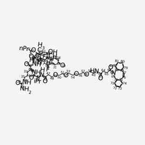 CCCC1O[C@@H]2C[C@H]3[C@@H]4C[C@H](F)C5=CC(=O)C=C[C@]5(C)[C@@]4(F)[C@@H](O)C[C@]3(C)[C@]2(C(=O)CNC(=O)[C@H](CCCNC(N)=O)NC(=O)[C@@H](NC(=O)CCOCCOCCOCCOCCNC(=O)CCC(=O)N2Cc3ccccc3C#Cc3ccccc32)C(C)C)O1